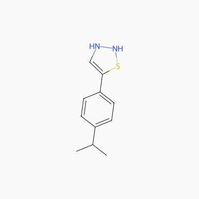 CC(C)c1ccc(C2=CNNS2)cc1